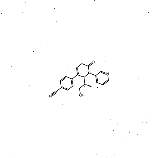 C[C@@H](CO)N1C(c2ccc(C#N)cc2)=CCC(=O)N1c1cccnc1